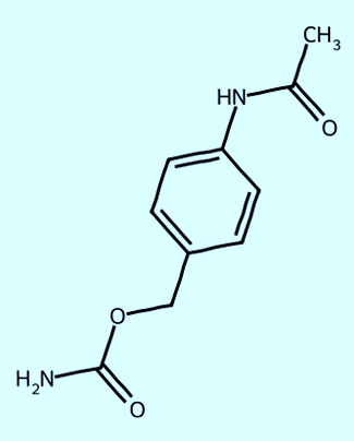 CC(=O)Nc1ccc(COC(N)=O)cc1